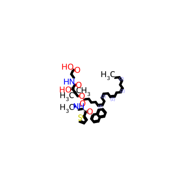 CC/C=C\C/C=C\C/C=C\C/C=C\C/C=C\CCCC(=O)OCC(C)(C)[C@@H](O)C(=O)NCCC(=O)O.CNCC[C@H](Oc1cccc2ccccc12)c1cccs1